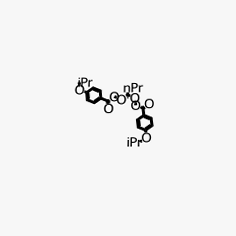 [CH2]CC[C](OOC(=O)c1ccc(OC(C)C)cc1)OOC(=O)c1ccc(OC(C)C)cc1